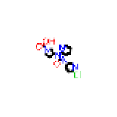 O=C(O)N1CC[C@@H](n2c(=O)n(-c3ccc(Cl)nc3)c3cccnc32)C1